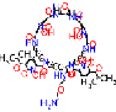 CC(C)C(=O)c1ccc(C(=O)N2CCCNC(=O)c3ccc(c(=O)n3O)C(=O)N[C@@H]3COC[C@@H]3NC(=O)c3ccc(n(O)c3=O)C(=O)NCCCN(C(=O)c3ccc(C(=O)C(C)C)c(=O)n3O)C(C(=O)NCCOCCN)CCC2)n(O)c1=O